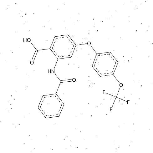 O=C(Nc1cc(Oc2ccc(OC(F)(F)F)cc2)ccc1C(=O)O)c1ccccc1